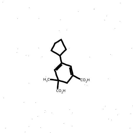 CC1(C(=O)O)C=C(C2CCCC2)C=C(C(=O)O)C1